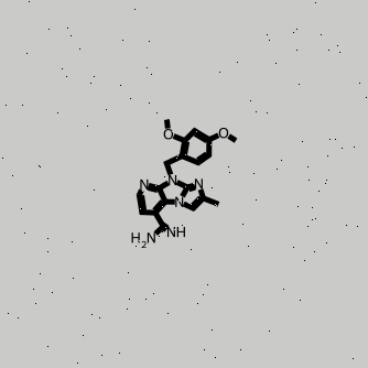 COc1ccc(Cn2c3nccc(C(=N)N)c3n3cc(C)nc23)c(OC)c1